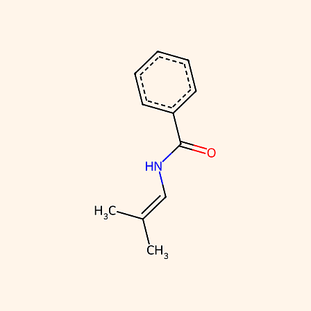 CC(C)=CNC(=O)c1ccccc1